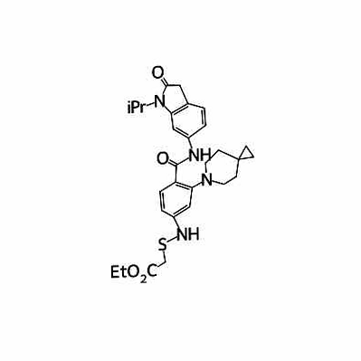 CCOC(=O)CSNc1ccc(C(=O)Nc2ccc3c(c2)N(C(C)C)C(=O)C3)c(N2CCC3(CC2)CC3)c1